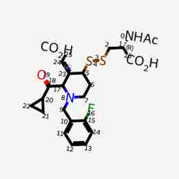 CC(=O)N[C@@H](CSSC1CCN(Cc2ccccc2F)C(C(=O)C2CC2)/C1=C/C(=O)O)C(=O)O